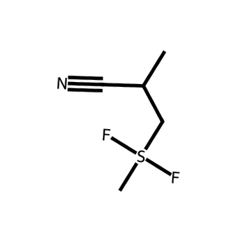 CC(C#N)CS(C)(F)F